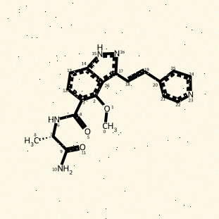 COc1c(C(=O)N[C@@H](C)C(N)=O)ccc2[nH]nc(/C=C/c3ccncc3)c12